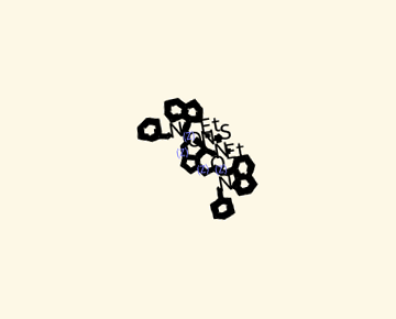 CCN1C(=O)C(=C2/C(=C\C=c3\c4cccc5cccc(c54)n3Cc3ccccc3)CC/C2=C/C=c2/c3cccc4cccc(c43)n2Cc2ccccc2)C(=O)N(CC)C1=S